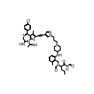 CCCC(C(=O)NC=O)N(C=O)Cc1c(C)cccc1NC1CCN(CCCn2cc(C#Cc3sc4c(c3C)C(c3ccc(Cl)cc3)=NCC(=N)N4C(C)=N)cn2)CC1